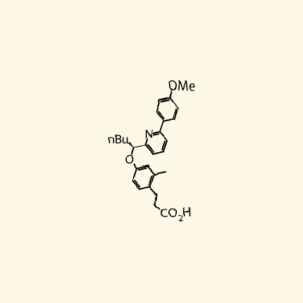 CCCC[C@H](Oc1ccc(CCC(=O)O)c(C)c1)c1cccc(-c2ccc(OC)cc2)n1